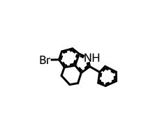 Brc1ccc2[nH]c(-c3ccccc3)c3c2c1CCC3